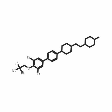 CCc1cc(-c2ccc(C3CCC(CCC4CCC(C)CC4)CC3)cc2)cc(CC)c1OCC(CC)(CC)CC